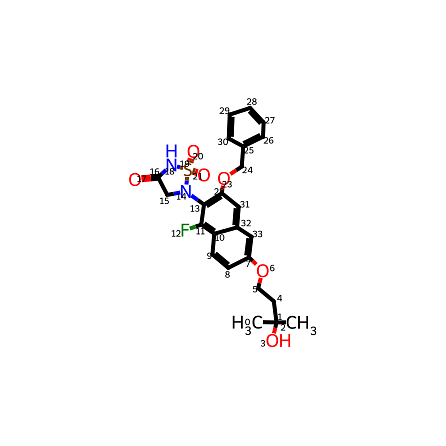 CC(C)(O)CCOc1ccc2c(F)c(N3CC(=O)NS3(=O)=O)c(OCc3ccccc3)cc2c1